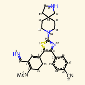 CNC1=C(C=N)C=C(c2sc(N3CCC4(CCNC4)CC3)nc2-c2ccc(C#N)cc2)CC1